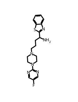 NC(CCCN1CCN(c2ncc(F)cn2)CC1)c1nc2ccccc2s1